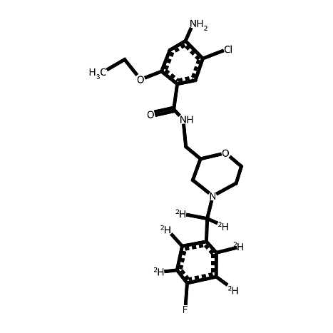 [2H]c1c([2H])c(C([2H])([2H])N2CCOC(CNC(=O)c3cc(Cl)c(N)cc3OCC)C2)c([2H])c([2H])c1F